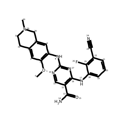 COc1cc2c(cc1Nc1ncc(C(N)=O)c(Nc3cccc(C#N)c3F)n1)CN(C)CC2